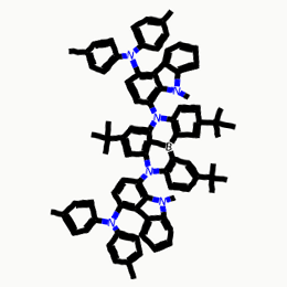 Cc1ccc(N(c2ccc(C)cc2)c2ccc(N3c4ccc(C(C)(C)C)cc4B4c5cc(C(C)(C)C)ccc5N(c5ccc(N(c6ccc(C)cc6)c6ccc(C)cc6)c6c7ccccc7n(C)c56)c5cc(C(C)(C)C)cc3c54)c3c2c2ccccc2n3C)cc1